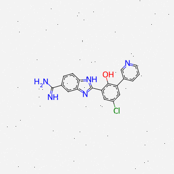 N=C(N)c1ccc2[nH]c(-c3cc(Cl)cc(-c4cccnc4)c3O)nc2c1